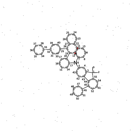 CC1(C)c2cc(N(c3ccccc3)c3ccccc3-c3ccc4ccccc4c3-c3ccc(-c4ccccc4)cc3)ccc2-c2c(-c3ccccc3)cccc21